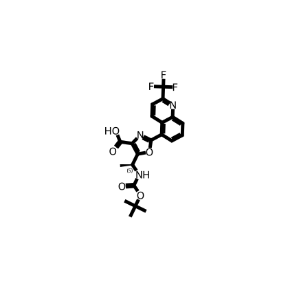 C[C@H](NC(=O)OC(C)(C)C)c1oc(-c2cccc3nc(C(F)(F)F)ccc23)nc1C(=O)O